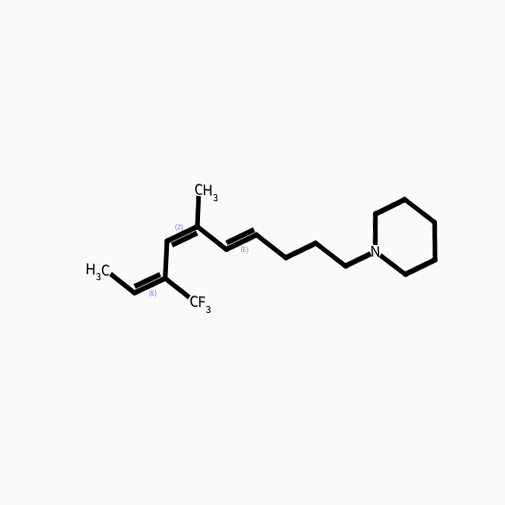 C\C=C(/C=C(C)\C=C\CCCN1CCCCC1)C(F)(F)F